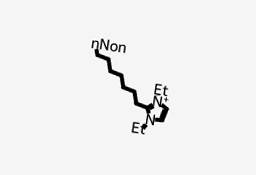 CCCCCCCCCCCCCCCCc1n(CC)cc[n+]1CC